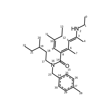 CCN/C(C)=C/C(C)=C(\C=C(\C)CC)C(=O)N(CCC(C)CC)Cc1ccc(C)cc1